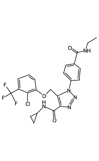 CCNC(=O)c1ccc(-n2nnc(C(=O)NC3CC3)c2COc2cccc(C(F)(F)F)c2Cl)cc1